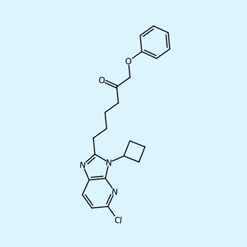 O=C(CCCCc1nc2ccc(Cl)nc2n1C1CCC1)COc1ccccc1